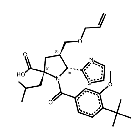 C=CCOC[C@@H]1C[C@@](CC(C)C)(C(=O)O)N(C(=O)c2ccc(C(C)(C)C)c(OC)c2)[C@H]1c1nccs1